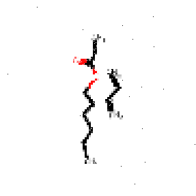 C=CC(=O)OCCCCCC.C=CC=C